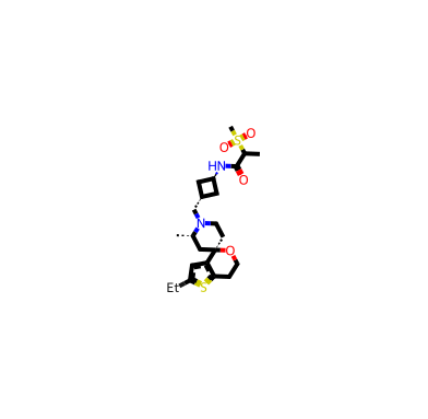 CCc1cc2c(s1)CCO[C@@]21CCN(C[C@H]2C[C@@H](NC(=O)C(C)S(C)(=O)=O)C2)[C@@H](C)C1